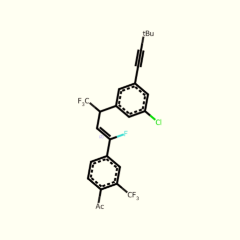 CC(=O)c1ccc(/C(F)=C/C(c2cc(Cl)cc(C#CC(C)(C)C)c2)C(F)(F)F)cc1C(F)(F)F